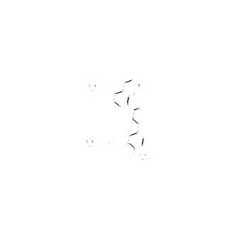 COCOc1cc(C=CC(=O)c2ccc(OC)c3c2OC(C)(C)C=C3)ccc1OC